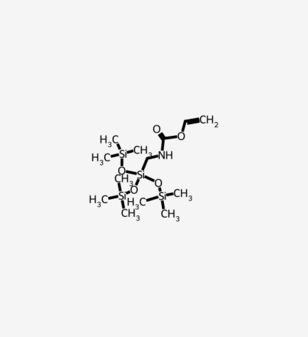 C=COC(=O)NC[Si](O[Si](C)(C)C)(O[Si](C)(C)C)O[Si](C)(C)C